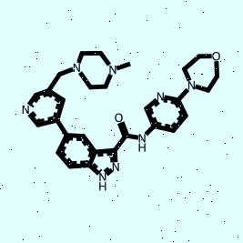 CN1CCN(Cc2cncc(-c3ccc4[nH]nc(C(=O)Nc5ccc(N6CCOCC6)nc5)c4c3)c2)CC1